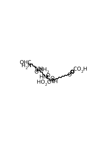 N[C@H]([C]=O)CCCCNC(=O)[C@@H](N)CCCCNC(=O)CC[C@H](NC(=O)CCCCCCCCCCOc1ccc(C(=O)O)cc1)C(=O)O